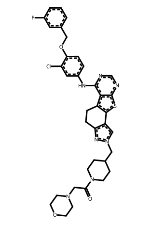 O=C(CN1CCOCC1)N1CCC(Cn2cc3c(n2)CCc2c-3sc3ncnc(Nc4ccc(OCc5cccc(F)c5)c(Cl)c4)c23)CC1